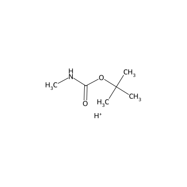 CNC(=O)OC(C)(C)C.[H+]